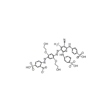 Cc1c(C#N)c(Nc2ccc(S(=O)(=O)O)cc2)nc(Nc2ccc(S(=O)(=O)O)cc2)c1/N=N/c1cc(OCCO)c(/N=N/c2ccc(S(=O)(=O)O)cc2[N+](=O)[O-])cc1OCCO